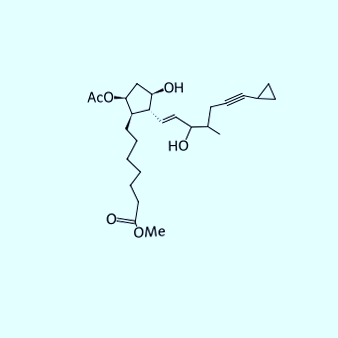 COC(=O)CCCCCC[C@@H]1[C@@H](/C=C/C(O)C(C)CC#CC2CC2)[C@H](O)C[C@@H]1OC(C)=O